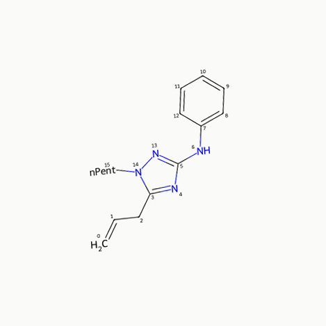 C=CCc1nc(Nc2ccccc2)nn1CCCCC